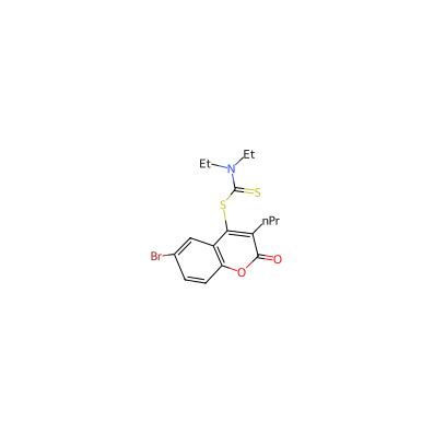 CCCc1c(SC(=S)N(CC)CC)c2cc(Br)ccc2oc1=O